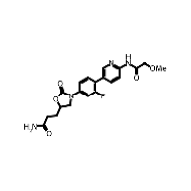 COCC(=O)Nc1ccc(-c2ccc(N3CC(CCC(N)=O)OC3=O)cc2F)cn1